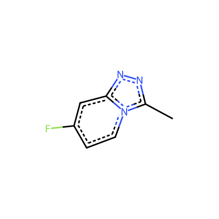 Cc1nnc2cc(F)ccn12